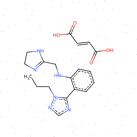 CCCn1ncnc1-c1ccccc1NCC1=NCCN1.O=C(O)C=CC(=O)O